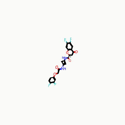 O=C(COc1ccc(F)c(F)c1)NC12CC(NC(=O)[C@@H]3CC(=O)c4cc(F)c(F)cc4O3)(C1)C2